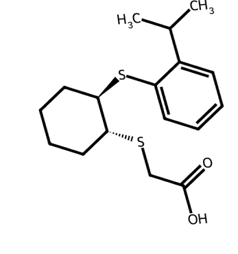 CC(C)c1ccccc1S[C@@H]1CCCC[C@H]1SCC(=O)O